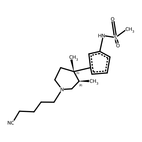 C[C@H]1CN(CCCCC#N)CC[C@]1(C)c1cccc(NS(C)(=O)=O)c1